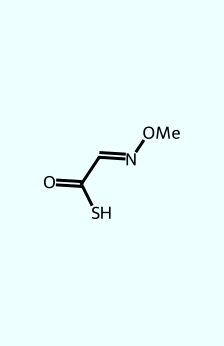 CO/N=C/C(=O)S